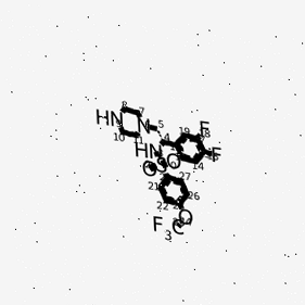 O=S(=O)(N[C@H](CN1CCNCC1)c1ccc(F)c(F)c1)c1ccc(OC(F)(F)F)cc1